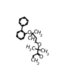 C=CC(=O)C(C)(C)OCCC(C)(C)Oc1ccccc1-c1ccccc1